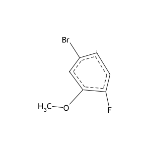 COc1cc(Br)[c]cc1F